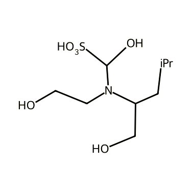 CC(C)CC(CO)N(CCO)C(O)S(=O)(=O)O